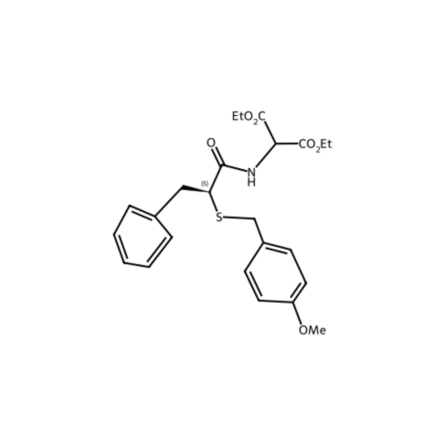 CCOC(=O)C(NC(=O)[C@H](Cc1ccccc1)SCc1ccc(OC)cc1)C(=O)OCC